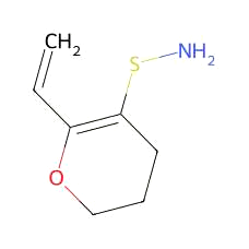 C=CC1=C(SN)CCCO1